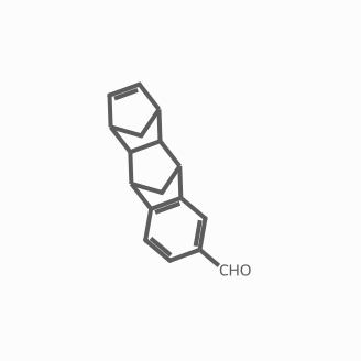 O=Cc1ccc2c(c1)C1CC2C2C3C=CC(C3)C12